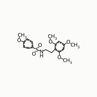 COc1ccc(S(=O)(=O)NCCc2c(OC)cc(OC)cc2OC)cc1